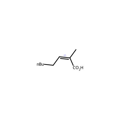 CCCCC/C=C(/C)C(=O)O